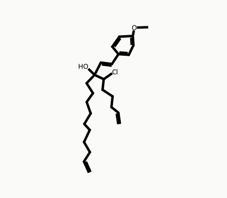 C=CCCCCCCCCC(O)(C=Cc1ccc(OC)cc1)C(Cl)CCCC=C